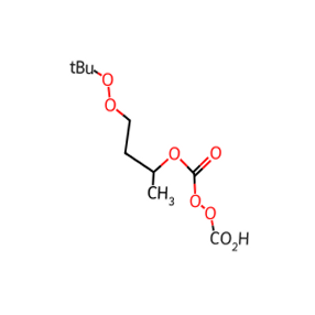 CC(CCOOC(C)(C)C)OC(=O)OOC(=O)O